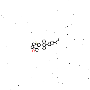 C/C=C\C=C(/C)c1ccc2cc(-c3c4ccccc4c(-c4ccc5c(c4)sc4ccc6ccc7oc8ccccc8c7c6c45)c4ccccc34)ccc2c1